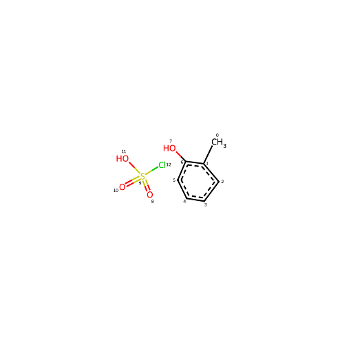 Cc1ccccc1O.O=S(=O)(O)Cl